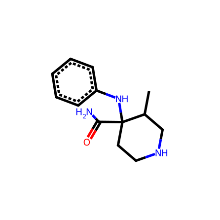 CC1CNCCC1(Nc1ccccc1)C(N)=O